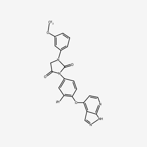 CC(C)c1cc(N2C(=O)CN(c3cccc(OC(F)(F)F)c3)C2=O)ccc1Oc1ccnc2[nH]ncc12